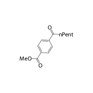 CCCCCC(=O)c1ccc(C(=O)OC)cc1